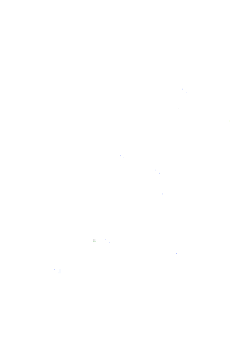 N#Cc1c(N)sc2c(F)ccc(-c3c(Cl)c4c5c(nc(OCC67CCCN6C[C@H](F)C7)nc5c3F)N3CCCCC(N)C3CO4)c12